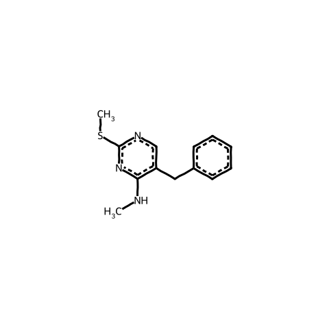 CNc1nc(SC)ncc1Cc1ccccc1